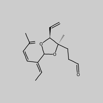 C=C[C@@H]1OC(C(/C=C\C(=C)C)=C/C)O[C@]1(C)CCC=O